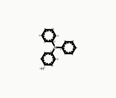 [H+].c1ccc(N(c2ccccc2)c2ccccc2)cc1